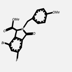 COC(=O)C1c2c(Br)cc(F)cc2C(=O)N1Cc1ccc(OC)cc1